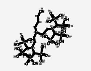 O=P(O)(O)C(N(CCN(CCCO)CCN(C(P(=O)(O)O)P(=O)(O)O)C(P(=O)(O)O)P(=O)(O)O)C(P(=O)(O)O)P(=O)(O)O)P(=O)(O)O